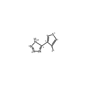 [CH2]c1cscc1-c1nnn[nH]1